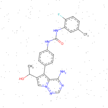 CC(O)c1cn2ncnc(N)c2c1-c1ccc(NC(=O)Nc2cc(C(F)(F)F)ccc2F)cc1